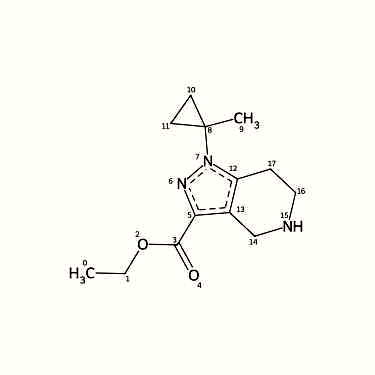 CCOC(=O)c1nn(C2(C)CC2)c2c1CNCC2